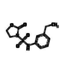 CCc1cccc(NS(=O)(=O)N2CCOC2=O)c1